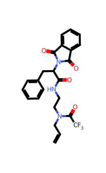 C=CCN(CCNC(=O)C(Cc1ccccc1)N1C(=O)c2ccccc2C1=O)C(=O)C(F)(F)F